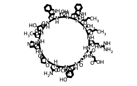 CCCC[C@H]1C(=O)N(C)[C@@H](CCCC)C(=O)N[C@@H](CCCNC(=N)N)C(=O)N[C@H](C(=O)NCC(=O)O)CSCC(=O)N[C@@H](Cc2ccc(O)cc2)C(=O)N(C)[C@@H](C)C(=O)N[C@@H](CC(N)=O)C(=O)N2CCC[C@H]2C(=O)N[C@@H](Cc2cnc[nH]2)C(=O)N[C@@H](CC(C)C)C(=O)N2C[C@H](O)C[C@H]2C(=O)N[C@@H](Cc2c[nH]c3ccccc23)C(=O)N[C@@H](CO)C(=O)N[C@@H](Cc2c[nH]c3ccccc23)C(=O)N1C